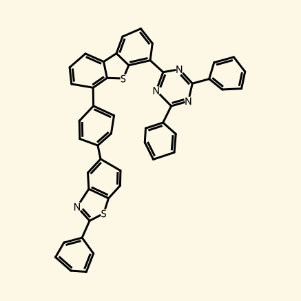 c1ccc(-c2nc(-c3ccccc3)nc(-c3cccc4c3sc3c(-c5ccc(-c6ccc7sc(-c8ccccc8)nc7c6)cc5)cccc34)n2)cc1